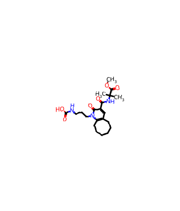 COC(=O)C(C)(C)NC(=O)c1cc2c(n(CCCNC(=O)O)c1=O)CCCCCC2